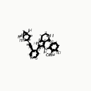 COc1c(Cl)cccc1Nc1c(-c2ccncc2C#C[C@@H]2C[C@@H]3C[C@@H]3N2)[nH]c2c1C(=O)NCC2